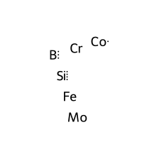 [B].[Co].[Cr].[Fe].[Mo].[Si]